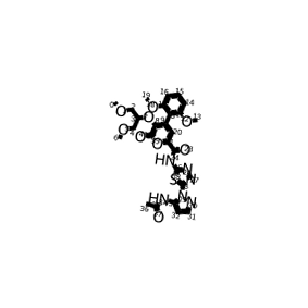 COCC(COC)Oc1c(-c2c(OC)cccc2OC)cc(C(=O)Nc2nnc(-n3nccc3NC(C)=O)s2)oc1=O